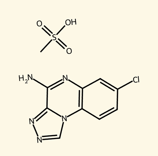 CS(=O)(=O)O.Nc1nc2cc(Cl)ccc2n2cnnc12